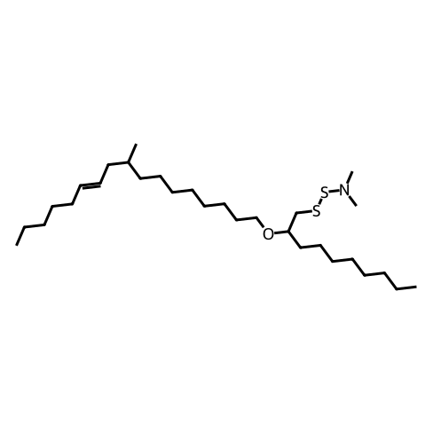 CCCCCC=CCC(C)CCCCCCCCOC(CCCCCCCC)CSSN(C)C